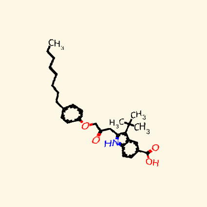 CCCCCCCCc1ccc(OCC(=O)Cc2[nH]c3ccc(C(=O)O)cc3c2C(C)(C)C)cc1